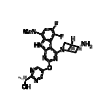 CNc1cc(F)c(F)c2c1[nH]c1nc(Oc3cnc([C@@H](C)O)nc3)nc(N3C[C@H]4C3C[C@H]4N)c12